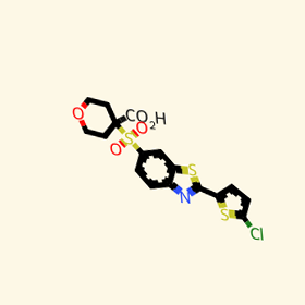 O=C(O)C1(S(=O)(=O)c2ccc3nc(-c4ccc(Cl)s4)sc3c2)CCOCC1